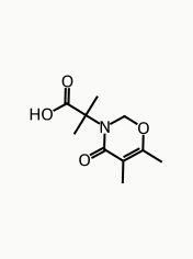 CC1=C(C)C(=O)N(C(C)(C)C(=O)O)CO1